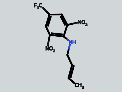 CC=CCNc1c([N+](=O)[O-])cc(C(F)(F)F)cc1[N+](=O)[O-]